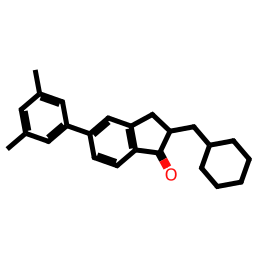 Cc1cc(C)cc(-c2ccc3c(c2)CC(CC2CCCCC2)C3=O)c1